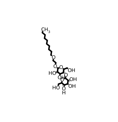 CCCCCCCCCCOCCOC1OC(CO)[C@H](OC2OC(CO)[C@H](O)C(O)[C@H]2O)C(O)[C@H]1O